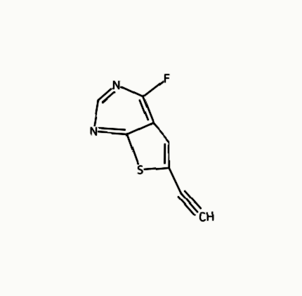 C#Cc1cc2c(F)ncnc2s1